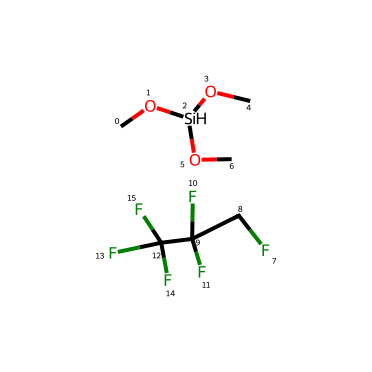 CO[SiH](OC)OC.FCC(F)(F)C(F)(F)F